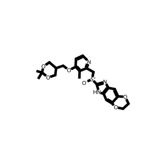 Cc1c(OCC2COC(C)(C)OC2)ccnc1C[S+]([O-])c1nc2cc3c(cc2[nH]1)OCCO3